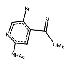 COC(=O)c1cc(NC(C)=O)ncc1Br